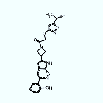 CC(C)C(C)c1cc(OCC(=O)N2CC(c3cc4cc(-c5ccccc5O)nnc4[nH]3)C2)no1